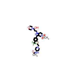 CC(=O)NC1CCN(CCSc2cc(-c3nn(CCC(O)N4CCOCC4)c4c3CN(S(C)(=O)=O)CC4)ccc2C(F)(F)F)CC1